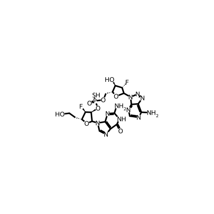 Nc1nc2c(ncn2C2O[C@H](CCO)[C@@H](F)[C@H]2OP(=O)(S)OC[C@H]2OC(n3nnc4c(N)ncnc43)[C@@H](F)[C@@H]2O)c(=O)[nH]1